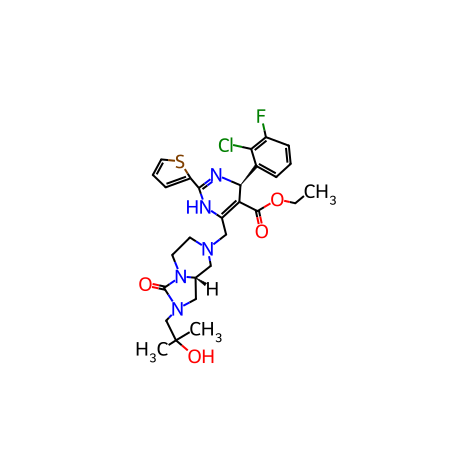 CCOC(=O)C1=C(CN2CCN3C(=O)N(CC(C)(C)O)C[C@H]3C2)NC(c2cccs2)=N[C@H]1c1cccc(F)c1Cl